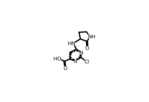 O=C(O)c1cc(NC2CCNC2=O)nc(Cl)n1